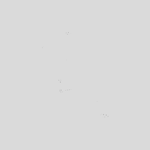 COc1ccc(-c2cc(-c3ccc(SC)cc3)[nH]n2)cc1Cl